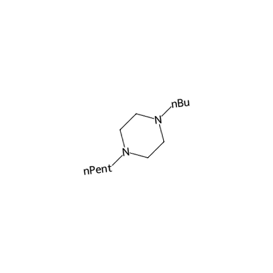 [CH2]CCCN1CCN(CCCCC)CC1